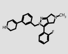 CN1Cc2nn(Cc3cccc(C4=CCNCC4)c3)c(-c3ccccc3F)c2C1